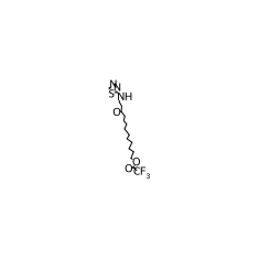 O=C(CCCCCCCCCCOC(=O)C(F)(F)F)CCNc1nncs1